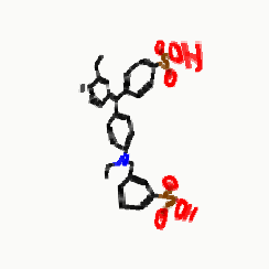 CCC1=CC(=C(c2ccc(N(CC)Cc3cccc(S(=O)(=O)O)c3)cc2)c2ccc(S(=O)(=O)O)cc2)C=C[C]1